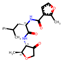 Cc1occc1C(=O)N[C@@H](CC(C)C(C)C)C(=O)N[C@@H]1C(=O)CO[C@H]1C